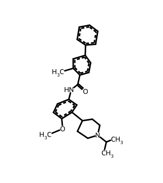 COc1ccc(NC(=O)c2ccc(-c3ccccc3)cc2C)cc1C1CCN(C(C)C)CC1